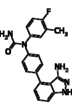 Cc1cc(N(C(N)=O)c2ccc(-c3cccc4[nH]nc(N)c34)cc2)ccc1F